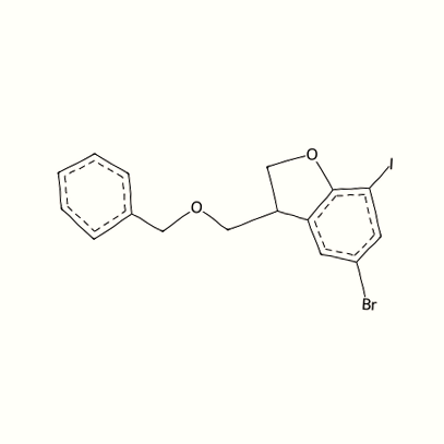 Brc1cc(I)c2c(c1)C(COCc1ccccc1)CO2